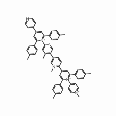 Cc1ccc(-c2cc(-c3ccc(-c4cnc(-[n+]5c(-c6ccc(C)cc6)cc(-c6ccncc6)cc5-c5ccc(C)cc5)cc4C)c[n+]3C)cc(-c3ccc(C)cc3)[n+]2-c2cc[n+](C)cc2)cc1